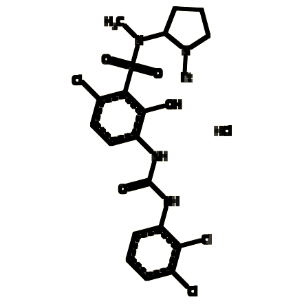 CCN1CCCC1N(C)S(=O)(=O)c1c(Cl)ccc(NC(=O)Nc2cccc(Cl)c2Cl)c1O.Cl